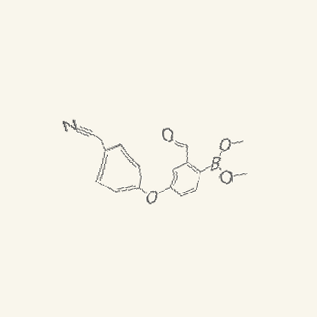 COB(OC)c1ccc(Oc2ccc(C#N)cc2)cc1C=O